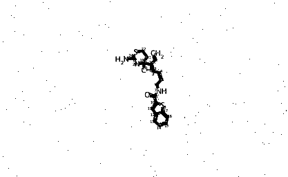 C=C/C(=C\C=C/CNC(=O)c1cc2ccccc2s1)C1(C)CCSC(N)=N1